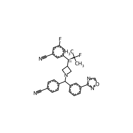 CC(C)(F)[C@H](c1cc(F)cc(C#N)c1)C1CN(C(c2ccc(C#N)cc2)c2cccc(-c3ncon3)c2)C1